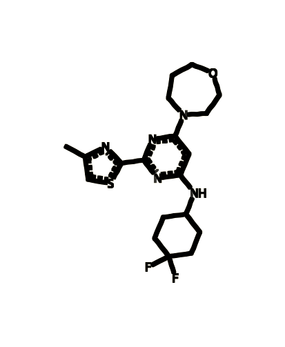 Cc1csc(-c2nc(NC3CCC(F)(F)CC3)cc(N3CCCOCC3)n2)n1